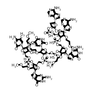 COCCOC1[C@@H](O)[C@@H](COP(=O)(S)O[C@@H]2C(OCCOC)[C@H](n3cnc4c(=O)[nH]c(N)nc43)O[C@@H]2COP(=O)(S)O[C@@H]2C(OCCOC)[C@H](n3cc(C)c(=O)[nH]c3=O)O[C@@H]2COP(=O)(S)O[C@@H]2C(OCCOC)[C@H](n3cnc4c(=O)[nH]c(N)nc43)O[C@@H]2COP(=O)(S)O[C@@H]2C(OCCOC)[C@H](n3cnc4c(N)ncnc43)O[C@@H]2COP(=O)(S)O[C@@H]2C[C@H](n3cnc4c(N)ncnc43)O[C@@H]2C)O[C@H]1n1cc(C)c(N)nc1=O